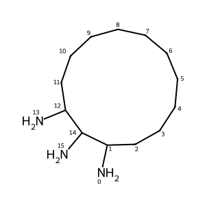 NC1CCCCCCCCCCC(N)C1N